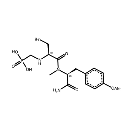 COc1ccc(C[C@@H](C(N)=O)N(C)C(=O)[C@H](CC(C)C)NCP(=O)(O)O)cc1